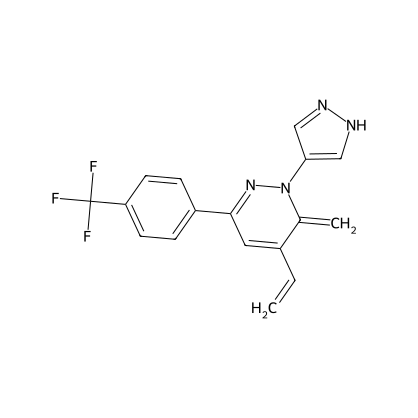 C=CC1=CC(c2ccc(C(F)(F)F)cc2)=NN(c2cn[nH]c2)C1=C